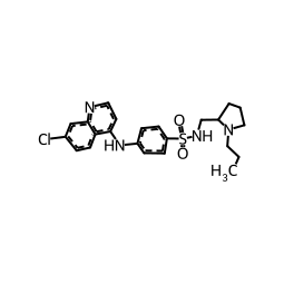 CCCN1CCCC1CNS(=O)(=O)c1ccc(Nc2ccnc3cc(Cl)ccc23)cc1